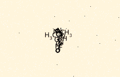 CC1C[C@H](NC(=O)c2ncc(C(F)(F)c3ccccc3)o2)C(=O)N(C)c2nccnc21